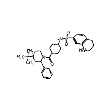 CC(C)(C)N1CCN(C(=O)C2CCC(NS(=O)(=O)c3ccc4c(c3)NCCC4)CC2)C(c2ccccc2)C1